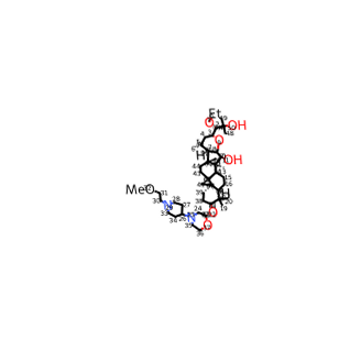 CCO[C@@H](C1C[C@@H](C)[C@H]2C(O1)[C@H](O)[C@@]1(C)C3CC[C@H]4C(C)(C)[C@@H](O[C@H]5CN(C6CCN(CCOC)CC6)CCO5)CC[C@@]45C[C@@]35CC[C@]21C)C(C)(C)O